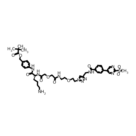 CC(C)(C)C(=O)OCc1ccc(NC(=O)[C@H](CCCCN)NC(=O)COCC(=O)NCCOCCn2cc(CNC(=O)c3ccc(-c4cnc(S(C)(=O)=O)nc4)cc3)nn2)cc1